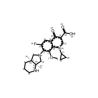 COc1c(N2C[C@]3(C)CCCN[C@]3(C)C2)c(F)cc2c(=O)c(C(=O)O)cn(C3CC3)c12